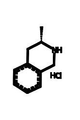 C[C@H]1Cc2ccccc2CN1.Cl